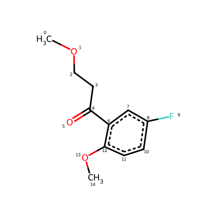 COCCC(=O)c1cc(F)ccc1OC